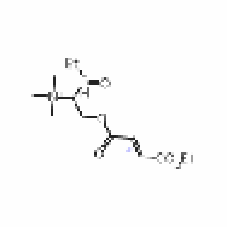 CCOC(=O)/C=C/C(=O)OCC([PH](=O)CC)[N+](C)(C)C